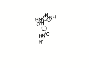 N#CCNC(=O)[C@H]1CC[C@H](n2c(=O)[nH]c3cnc4[nH]ccc4c32)CC1